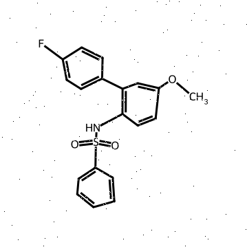 COc1ccc(NS(=O)(=O)c2ccccc2)c(-c2ccc(F)cc2)c1